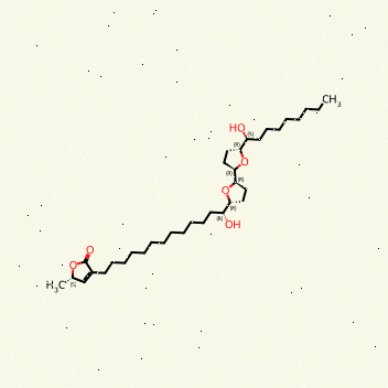 CCCCCCCC[C@H](O)[C@H]1CC[C@H]([C@H]2CC[C@H]([C@H](O)CCCCCCCCCCCCC3=C[C@H](C)OC3=O)O2)O1